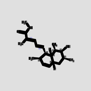 CNC(=O)/C(C)=C/C=C/[C@@H]1[C@@H]2[C@H](C)[C@@H](O)[C@H](C)C[C@@H]2C=C[C@H]1C